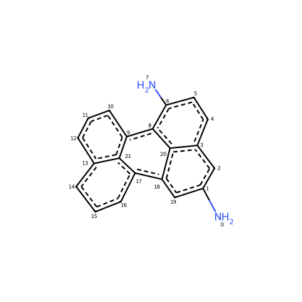 Nc1cc2ccc(N)c3c4cccc5cccc(c(c1)c23)c54